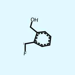 OCc1ccccc1[C]F